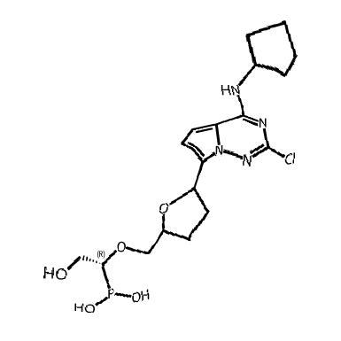 OC[C@H](OCC1CCC(c2ccc3c(NC4CCCC4)nc(Cl)nn23)O1)P(O)O